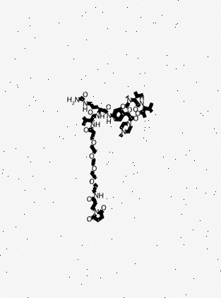 CC(=O)[C@@H](NC(=O)[C@H](C(C)C)N(C)C(=O)OC(C(=O)N1CCN(C)CC1)c1ccc(NC(=O)[C@H](CCCNC(N)=O)NC(=O)[C@@H](NC(=O)CCOCCOCCOCCOCCNC(=O)CCN2C(=O)CCC2=O)C(C)C)cc1)C(C)C